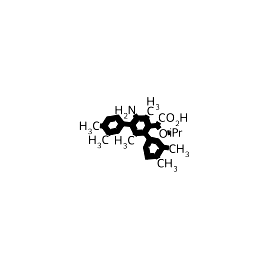 Cc1ccc(-c2c(C)c(-c3ccc(C)c(C)c3)c(C(OC(C)C)C(=O)O)c(C)c2N)cc1C